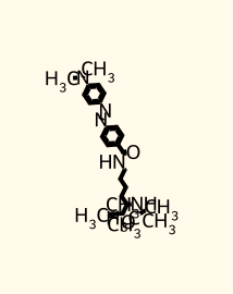 CN(C)c1ccc(/N=N/c2ccc(C(=O)NCCCCC(NC(C)(C)C)C(=O)C(C)(C)C)cc2)cc1